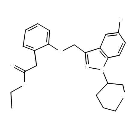 CCOC(=O)Cc1ccccc1OCc1nn(C2CCCOC2)c2ccc(Br)cc12